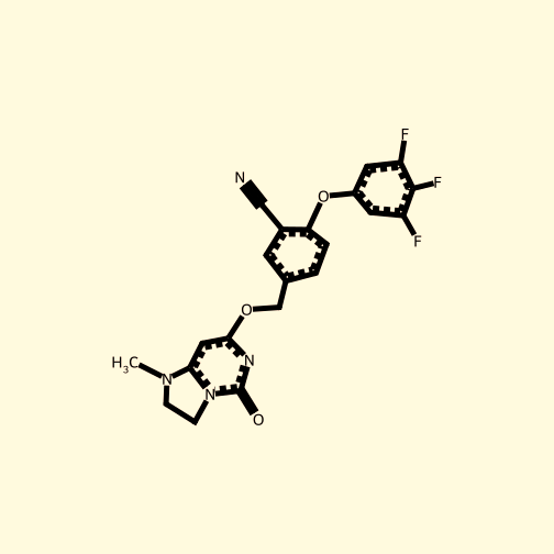 CN1CCn2c1cc(OCc1ccc(Oc3cc(F)c(F)c(F)c3)c(C#N)c1)nc2=O